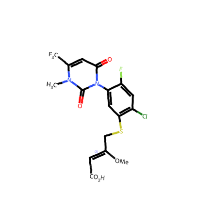 CO/C(=C\C(=O)O)CSc1cc(-n2c(=O)cc(C(F)(F)F)n(C)c2=O)c(F)cc1Cl